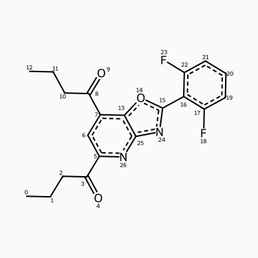 CCCC(=O)c1cc(C(=O)CCC)c2oc(-c3c(F)cccc3F)nc2n1